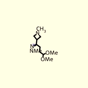 CN/N=C(\CCC(OC)OC)C1CN(C)C1